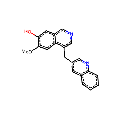 COc1cc2c(Cc3cnc4ccccc4c3)cncc2cc1O